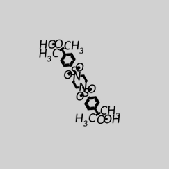 CC(C)(OO)c1ccc(S(=O)(=O)N2CCN(S(=O)(=O)c3ccc(C(C)(C)OO)cc3)CC2)cc1